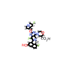 CCc1c(F)ccc2cc(O)cc(-c3ncc4c(N5CCOCC(C(=O)O)C5)nc(OC[C@@]56CCCN5C[C@H](F)C6)nc4c3F)c12